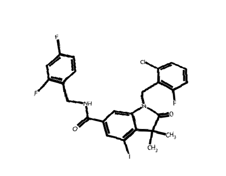 CC1(C)C(=O)N(Cc2c(F)cccc2Cl)c2cc(C(=O)NCc3ccc(F)cc3F)cc(I)c21